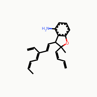 C=C/C=C\C1(C)Oc2cccc(N)c2C1/C=C/C(C=C)=C/C=C\C